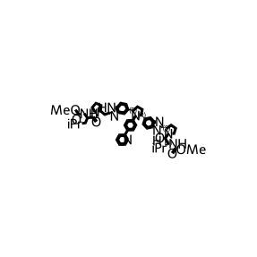 COC(=O)NC(CC(C)C)C(=O)N1CCCC1Cc1nc2cc([C@H]3CC[C@H](c4ccc5[nH]c([C@@H]6CCCN6C(=O)[C@@H](NC(=O)OC)C(C)C)nc5c4)N3c3ccc(-c4ccccn4)cc3)ccc2[nH]1